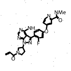 C=CC(=O)N1CCC(n2nc(-c3ccc(Oc4ccnc(C(=O)NC)c4)cc3F)c3c(N)ncnc32)C1